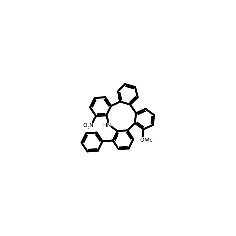 COc1cccc2c3ccccc3c3cccc([N+](=O)[O-])c3[nH]c3c(-c4ccccc4)cccc3c12